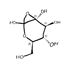 OC[C@H]1OC2(O)O[C@@]2(O)[C@@H](O)[C@@H]1O